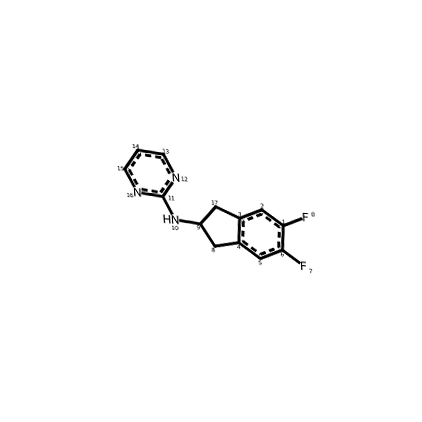 Fc1cc2c(cc1F)CC(Nc1ncccn1)C2